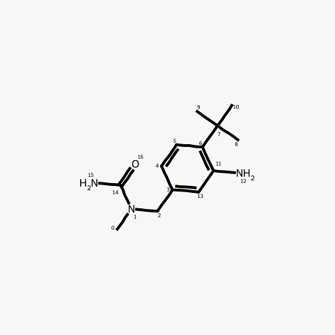 CN(Cc1ccc(C(C)(C)C)c(N)c1)C(N)=O